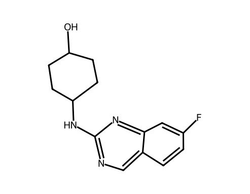 OC1CCC(Nc2ncc3ccc(F)cc3n2)CC1